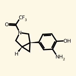 Nc1cc([C@@]23C[C@@H]2CN(C(=O)C(F)(F)F)C3)ccc1O